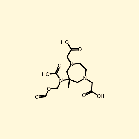 CC1(N(COC=O)C(=O)O)CN(CC(=O)O)CCN(CC(=O)O)C1